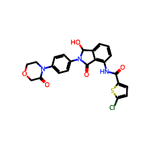 O=C(Nc1cccc2c1C(=O)N(c1ccc(N3CCOCC3=O)cc1)C2O)c1ccc(Cl)s1